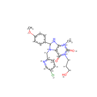 COc1ccc(C2Nc3c(c(=O)n(CCCO)c(=O)n3C)N2Cc2ccc(Cl)cn2)cc1